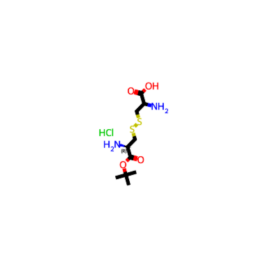 CC(C)(C)OC(=O)[C@@H](N)CSSCC(N)C(=O)O.Cl